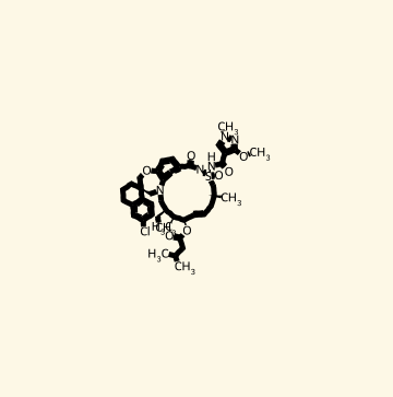 CC[C@H]1CN2C[C@@]3(CCCc4cc(Cl)ccc43)COc3ccc(cc32)C(=O)N=[S@](=O)(NC(=O)c2cn(C)nc2OC)C[C@@H](C)C/C=C/[C@H](OC(=O)CC(C)C)[C@@H]1C